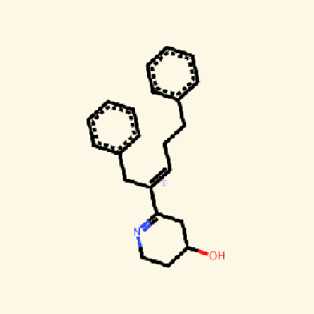 OC1CCN=C(/C(=C/CCc2ccccc2)Cc2ccccc2)C1